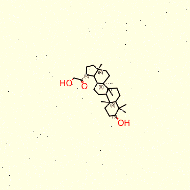 CC1(C)C2CC[C@]3(C)C(CCC4C5[C@H](C(=O)CO)CC[C@]5(C)CC[C@]43C)[C@@]2(C)CC[C@@H]1O